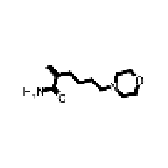 C=C(CCCCN1CCOCC1)C(N)=O